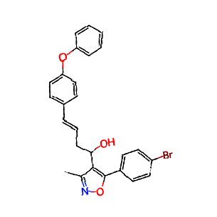 Cc1noc(-c2ccc(Br)cc2)c1C(O)CC=Cc1ccc(Oc2ccccc2)cc1